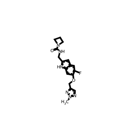 Cn1ncc(COc2cc3[nH]c(CNC(=O)N4CCC4)cc3cc2F)n1